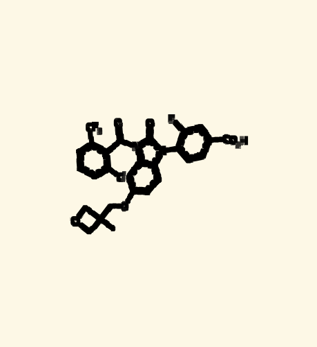 CC1(COc2ccc3c(c2)n(C(=O)c2c(Cl)cccc2C(F)(F)F)c(=O)n3-c2ccc(C(=O)O)cc2F)COC1